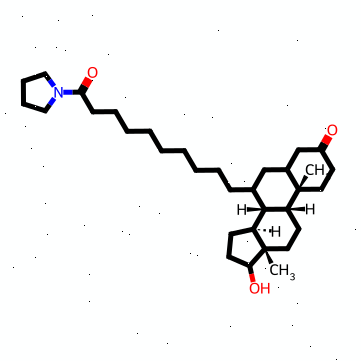 C[C@]12CCC(=O)CC1CC(CCCCCCCCCC(=O)N1CCCC1)[C@@H]1[C@H]2CC[C@]2(C)C(O)CC[C@@H]12